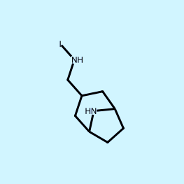 INCC1CC2CCC(C1)N2